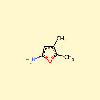 Cc1cc(N)oc1C